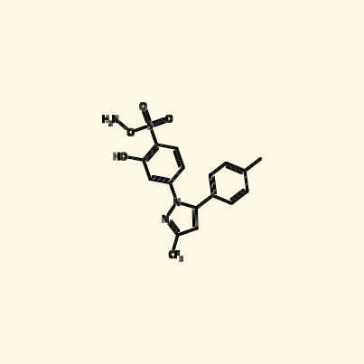 Cc1ccc(-c2cc(C(F)(F)F)nn2-c2ccc(S(=O)(=O)ON)c(O)c2)cc1